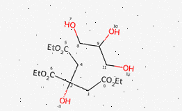 CCOC(=O)CC(O)(CC(=O)OCC)C(=O)OCC.OCC(O)CO